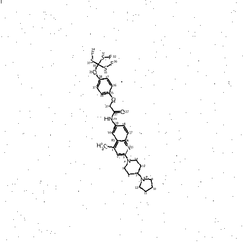 Cc1cc(N2CCC(N3CCCC3)CC2)nc2ccc(NC(=O)COc3ccc(OC(SF)(SF)SF)cc3)cc12